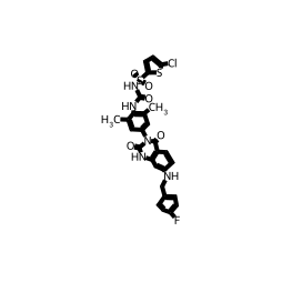 Cc1cc(-n2c(=O)[nH]c3cc(NCc4ccc(F)cc4)ccc3c2=O)cc(C)c1NC(=O)NS(=O)(=O)c1ccc(Cl)s1